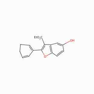 CCOC(=O)c1c(C2=CCCC=C2)oc2ccc(O)cc12